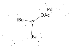 CC(=O)OP(C(C)(C)C)C(C)(C)C.[Pd]